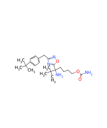 CC(C)(C)c1ccc(Cc2noc(C(N)(CCCCOC(N)=O)C(C)(C)C)n2)cc1